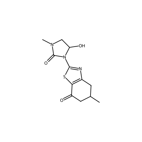 CC1CC(=O)c2sc(N3C(=O)N(C)CC3O)nc2C1